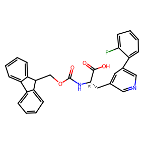 O=C(N[C@@H](Cc1cncc(-c2ccccc2F)c1)C(=O)O)OCC1c2ccccc2-c2ccccc21